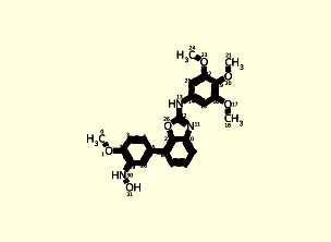 COc1ccc(-c2cccc3nc(Nc4cc(OC)c(OC)c(OC)c4)oc23)cc1NO